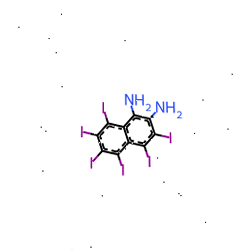 Nc1c(I)c(I)c2c(I)c(I)c(I)c(I)c2c1N